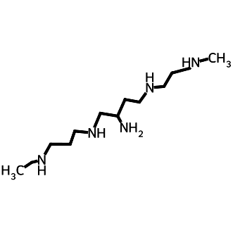 CCNCCCNCC(N)CCNCCCNC